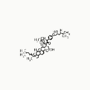 CC(C)CCC[C@@H](C)[C@H]1CCC2C3CC=C4CC([C@H](CC(=O)O)N(C(=O)Cc5ccc(OCC(O)CNC(C)C)cc5)C(=O)OC(C)(C)C)CC[C@]4(C)C3CC[C@@]21C